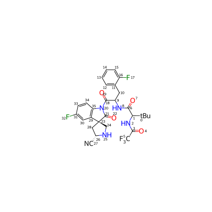 CC(C)(C)C(NC(=O)C(F)(F)F)C(=O)NC(Cc1ccccc1F)C(=O)N1C(=O)[C@@]2(CN[C@H](C#N)C2)c2cc(F)ccc21